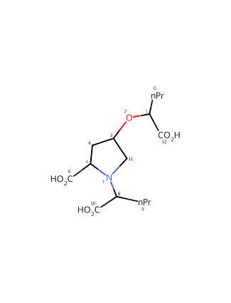 CCCC(OC1CC(C(=O)O)N(C(CCC)C(=O)O)C1)C(=O)O